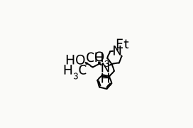 CCN1CCC(Cc2ccccc2)(NC(=O)CC(C)(C)O)CC1